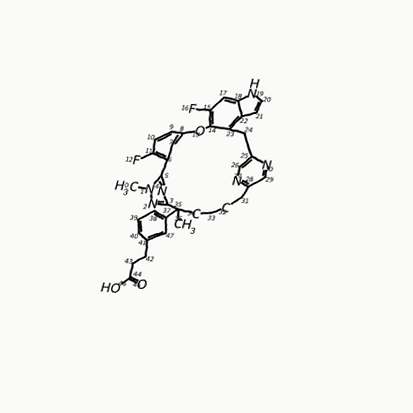 Cn1nc2nc1-c1cc(ccc1F)Oc1c(F)cc3[nH]ccc3c1Cc1cnc(cn1)CCCCC2(C)c1cccc(CCC(=O)O)c1